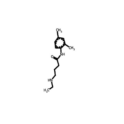 CCNCCCC(=O)Nc1ccc(C)cc1C